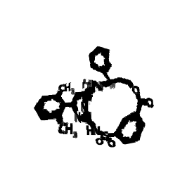 Cc1cccc(C)c1-c1cc2nc(n1)NS(=O)(=O)c1cccc(c1)C(=O)OCC[C@H](c1ccccc1)N2